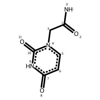 [NH]C(=O)Cn1ccc(=O)[nH]c1=O